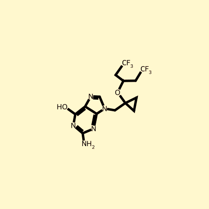 Nc1nc(O)c2ncn(CC3(O[C](CC(F)(F)F)CC(F)(F)F)CC3)c2n1